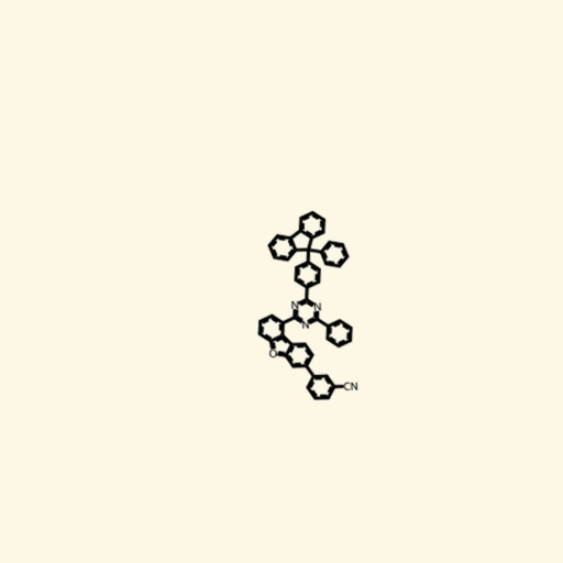 N#Cc1cccc(-c2ccc3c(c2)oc2cccc(-c4nc(-c5ccccc5)nc(-c5ccc(C6(c7ccccc7)c7ccccc7-c7ccccc76)cc5)n4)c23)c1